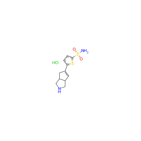 Cl.NS(=O)(=O)c1ccc(C2=CC3CNCC3C2)s1